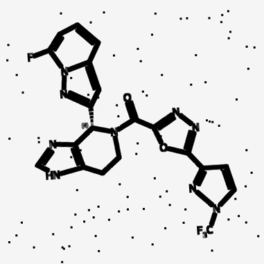 O=C(c1nnc(-c2ccn(C(F)(F)F)n2)o1)N1CCc2[nH]cnc2[C@@H]1c1cc2cccc(F)n2n1